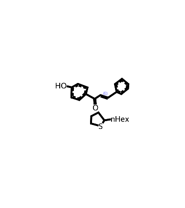 CCCCCCC1CCCS1.O=C(/C=C/c1ccccc1)c1ccc(O)cc1